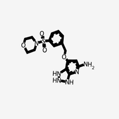 Nc1cc(OCc2cccc(S(=O)(=O)N3CCOCC3)c2)c2c(n1)NNN2